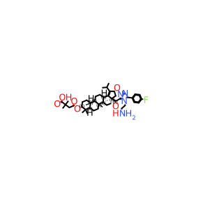 CC(C)C1=C2[C@H]3CC[C@@H]4[C@@]5(C)CC[C@H](OC(=O)CC(C)(C)C(=O)O)C(C)(C)[C@@H]5CC[C@@]4(C)[C@]3(C)CC[C@@]2([C@@H](O)c2nnc(-c3ccc(F)cc3)n2CCN)CC1=O